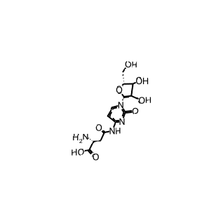 N[C@H](CC(=O)Nc1ccn([C@@H]2O[C@H](CO)C(O)C2O)c(=O)n1)C(=O)O